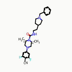 C[C@@H]1CN(c2cc(F)c(C#N)c(F)c2)C[C@H](C)N1C(=O)NCCC1CCN(Cc2ccccc2)CC1